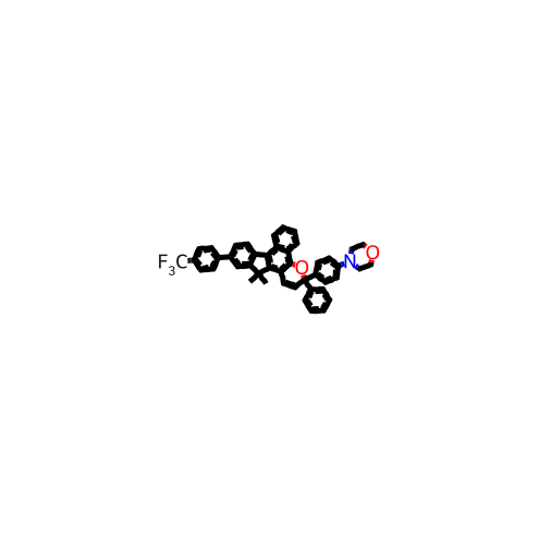 CC1(C)c2cc(-c3ccc(C(F)(F)F)cc3)ccc2-c2c1c1c(c3ccccc23)OC(c2ccccc2)(c2ccc(N3CCOCC3)cc2)C=C1